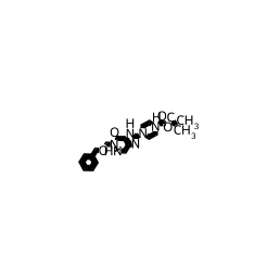 CC(C)(C)OC(=O)N1CCN(c2nc3c([nH]2)C(=O)N(COCc2ccccc2)NC3)CC1